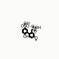 COc1ccc(-c2cc(S(=O)(=O)O)ccc2O)c(CS(=O)(=O)O)c1